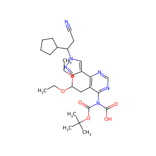 CCOC(Cc1c(-c2cnn(C(CC#N)C3CCCC3)c2)ncnc1N(C(=O)O)C(=O)OC(C)(C)C)OCC